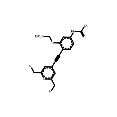 CCOC(=O)COc1cc(NC(=O)C(F)(F)F)ccc1C#Cc1cc(CBr)nc(CBr)c1